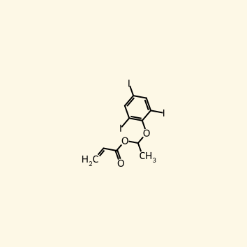 C=CC(=O)OC(C)Oc1c(I)cc(I)cc1I